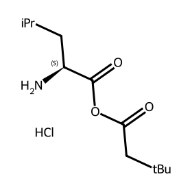 CC(C)C[C@H](N)C(=O)OC(=O)CC(C)(C)C.Cl